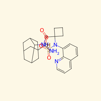 NC(=O)C12CC3CC(C1)C(NC(=O)C1(N(c4cccc5cccnc45)[SH](=O)=O)CCC1)C(C3)C2